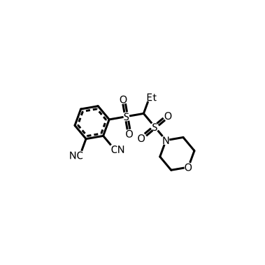 CCC(S(=O)(=O)c1cccc(C#N)c1C#N)S(=O)(=O)N1CCOCC1